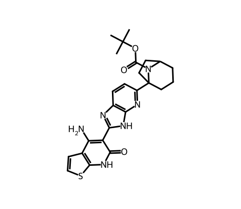 CC(C)(C)OC(=O)N1C2CCCC1(c1ccc3nc(-c4c(N)c5ccsc5[nH]c4=O)[nH]c3n1)CC2